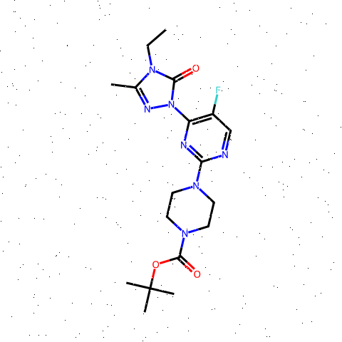 CCn1c(C)nn(-c2nc(N3CCN(C(=O)OC(C)(C)C)CC3)ncc2F)c1=O